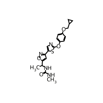 CNC(=O)NC(C)c1cc(-c2cnc(Oc3ccc(OCC4CC4)cc3)s2)no1